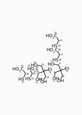 CCC(CO)(CO)CO.CCC(CO)(CO)CO.O=C(O)CS.O=C(O)CS.O=C(O)CS.O=C(O)CS